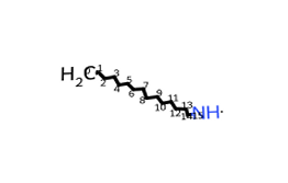 C=CCCCCCCCCCCCCC[NH]